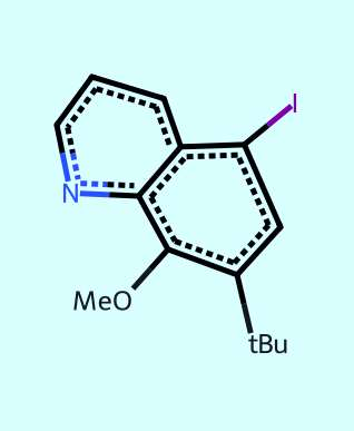 COc1c(C(C)(C)C)cc(I)c2cccnc12